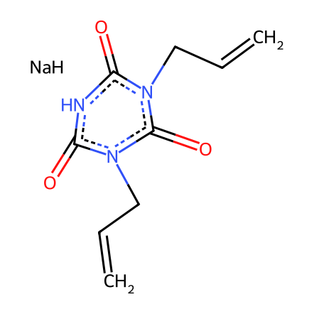 C=CCn1c(=O)[nH]c(=O)n(CC=C)c1=O.[NaH]